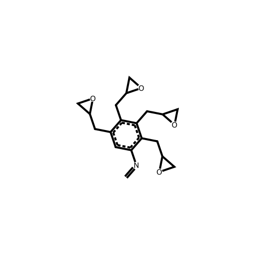 C=Nc1cc(CC2CO2)c(CC2CO2)c(CC2CO2)c1CC1CO1